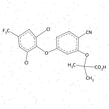 CC(C)(Oc1cc(Oc2c(Cl)cc(C(F)(F)F)cc2Cl)ccc1C#N)C(=O)O